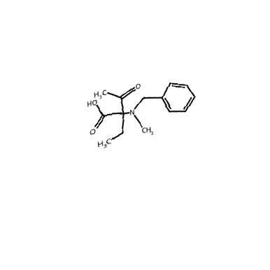 CCC(C(C)=O)(C(=O)O)N(C)Cc1ccccc1